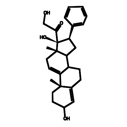 C[C@]12CCC(O)C=C1CCC1C2=CC[C@@]2(C)C1C[C@H](c1ccccc1)[C@]2(O)C(=O)CO